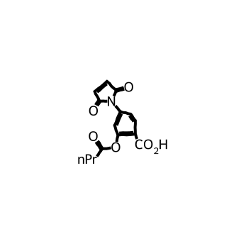 CCCC(=O)Oc1cc(N2C(=O)C=CC2=O)ccc1C(=O)O